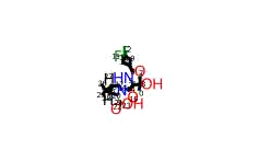 CC(C)(O)[C@H](NC(=O)C1CC(F)(F)C1)C(=O)N1C[C@H]2[C@@H]([C@H]1C(=O)O)C2(C)C